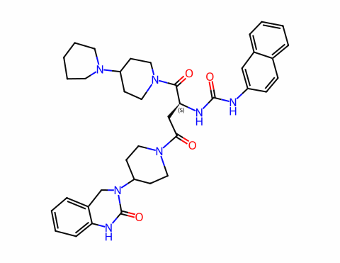 O=C(Nc1ccc2ccccc2c1)N[C@@H](CC(=O)N1CCC(N2Cc3ccccc3NC2=O)CC1)C(=O)N1CCC(N2CCCCC2)CC1